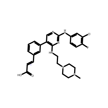 CN1CCN(CCNc2nc(Nc3ccc(F)c(Cl)c3)ncc2-c2cccc(/C=C/C(=O)O)c2)CC1